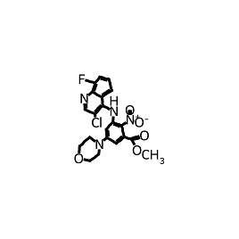 COC(=O)c1cc(N2CCOCC2)cc(Nc2c(Cl)cnc3c(F)cccc23)c1[N+](=O)[O-]